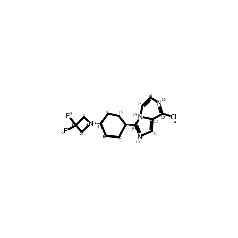 FC1(F)CN([C@H]2CC[C@H](c3ncc4c(Cl)nccn43)CC2)C1